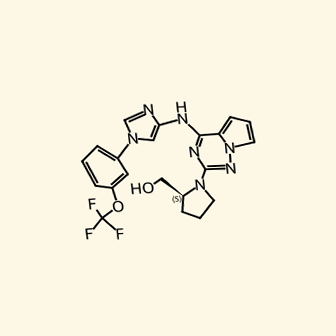 OC[C@@H]1CCCN1c1nc(Nc2cn(-c3cccc(OC(F)(F)F)c3)cn2)c2cccn2n1